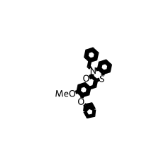 COc1ccc(C=C2Sc3ccccc3N(Cc3ccccc3)C2=O)cc1OC1CC2CCC1C2